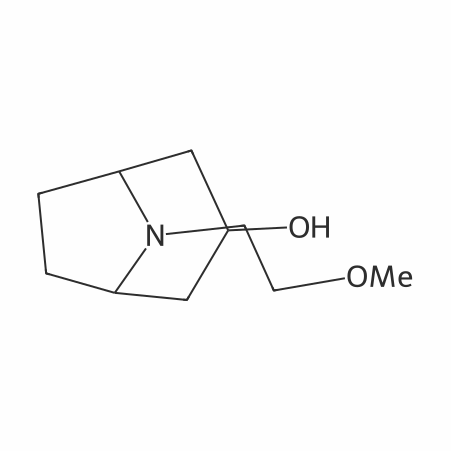 COCCN1C2CCC1CC(O)C2